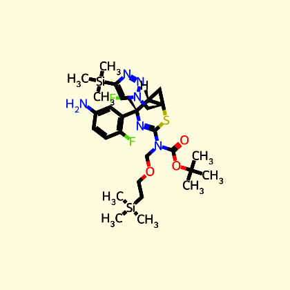 CC(C)(C)OC(=O)N(COCC[Si](C)(C)C)C1=N[C@](CF)(c2cc(N)ccc2F)[C@@H]2C[C@]2(Cn2cc([Si](C)(C)C)nn2)S1